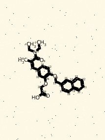 CCN(CC)C(=O)/C(C)=C\c1ccc(OCc2ccc3ccccc3c2)c(OCC(=O)O)c1